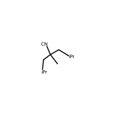 [C-]#[N+]C(C)(CC(C)C)CC(C)C